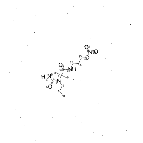 CCCN(C(N)=O)C(C)(C)C(=O)NCCCO[N+](=O)[O-]